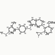 COc1ncnc(C2CC2)c1-c1ncc2cnn(Cc3ccc(-n4nc(CF)cc4C(C)C)cc3)c2n1